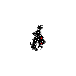 CCN(CCN(C)c1ccncc1)C(=O)CC1(c2ccccc2OC)C(=O)N(S(=O)(=O)c2ccc(OC(F)(F)F)cc2OC)c2ccc(Cl)cc21